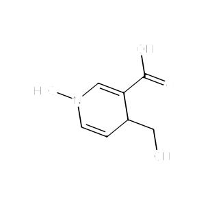 CCC1C=CN(C)C=C1C(=O)O